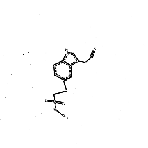 CNS(=O)(=O)CCc1ccc2[nH]cc(CC#N)c2c1